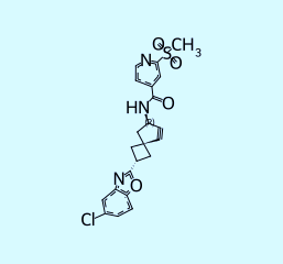 CS(=O)(=O)c1cc(C(=O)N[C@H]2C#C[C@]3(C2)C[C@@H](c2nc4cc(Cl)ccc4o2)C3)ccn1